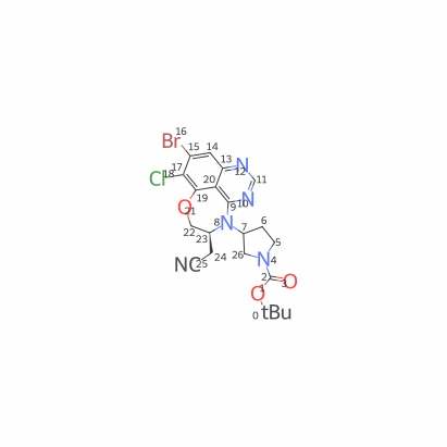 CC(C)(C)OC(=O)N1CCC(N2c3ncnc4cc(Br)c(Cl)c(c34)OC[C@@H]2CC#N)C1